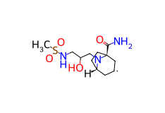 CS(=O)(=O)NCC(O)CN1[C@@H]2C[CH]C[C@@]1(C(N)=O)CC2